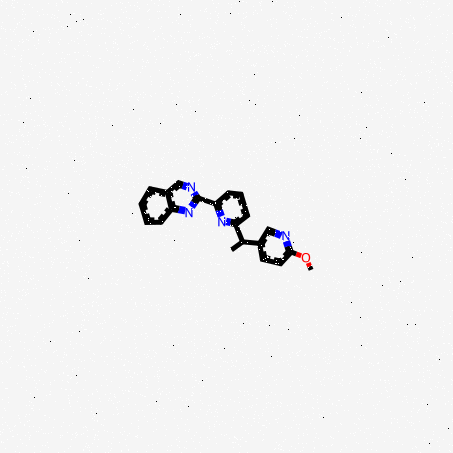 COc1ccc(C(C)c2cccc(-c3ncc4ccccc4n3)n2)cn1